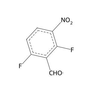 O=[C]c1c(F)ccc([N+](=O)[O-])c1F